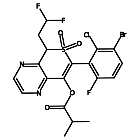 CC(C)C(=O)OC1=C(c2c(F)ccc(Br)c2Cl)S(=O)(=O)C(CC(F)F)c2nccnc21